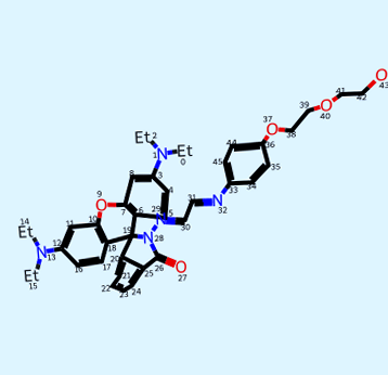 CCN(CC)c1ccc2c(c1)Oc1cc(N(CC)CC)ccc1C21c2ccccc2C(=O)N1/N=C/C=N/c1ccc(OCCOCCO)cc1